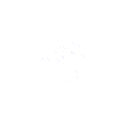 CCO[Si](CCCn1nc(Nc2n[nH]c(N)n2)nc1N)(OCC)OCC